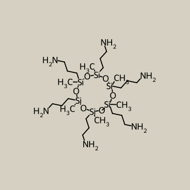 C[Si]1(CCCN)O[Si](C)(CCCN)O[Si](C)(CCCN)O[Si](C)(CCCN)O[Si](C)(CCCN)O[Si](C)(CCCN)O1